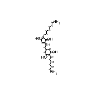 NCCCCCCCC1C(O)C[C@@H](NCC2CC(O)C(CCCCCCN)C(O)C2)C1O